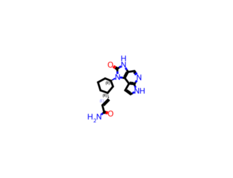 NC(=O)/C=C/[C@@H]1CCC[C@@H](n2c(=O)[nH]c3cnc4[nH]ccc4c32)C1